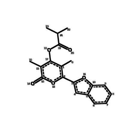 Cc1c(-c2cc3ccccc3o2)oc(=O)c(C)c1OC(=O)C(C)C